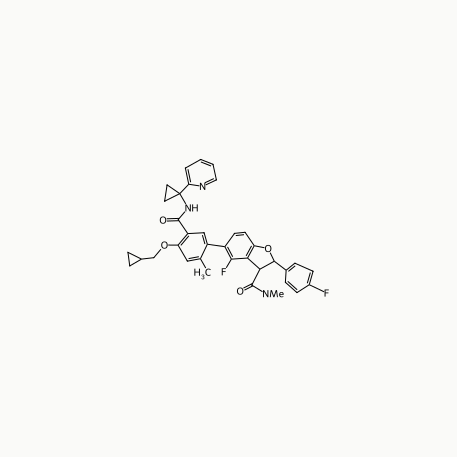 CNC(=O)C1c2c(ccc(-c3cc(C(=O)NC4(c5ccccn5)CC4)c(OCC4CC4)cc3C)c2F)OC1c1ccc(F)cc1